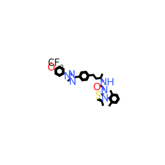 Cc1cccc(C)c1-n1c(C)cs/c1=N\C(=O)NC(C)CCc1ccc(-c2ncn(-c3ccc(OC(F)(F)F)cc3)n2)cc1